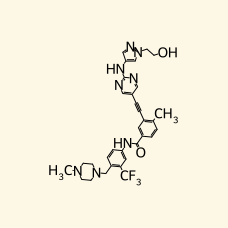 Cc1ccc(C(=O)Nc2ccc(CN3CCN(C)CC3)c(C(F)(F)F)c2)cc1C#Cc1cnc(Nc2cnn(CCO)c2)nc1